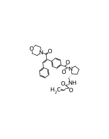 C=CS(=O)(=O)NC[C@H]1CCCN1S(=O)(=O)c1ccc(/C(=C\c2ccccc2)C(=O)N2CCOCC2)cc1